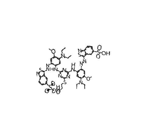 CCN(CC)c1cc(Nc2nc(Nc3cc(N(CC)CC)c(OC)cc3/N=N/c3snc4ccc(S(=O)(=O)O)cc34)nc(SCCO)n2)c(/N=N/c2snc3ccc(S(=O)(=O)O)cc23)cc1OC